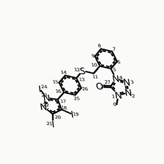 Cn1nnn(-c2ccccc2CSc2ccc(-c3c(I)c(I)nn3I)cc2)c1=O